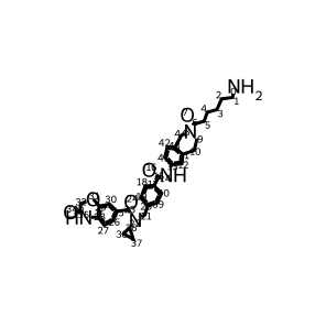 NCCCCCC(=O)N1CCc2cc(NC(=O)c3ccc(CN(C(=O)c4ccc5c(c4)OCC(=O)N5)C4CC4)cc3)ccc2C1